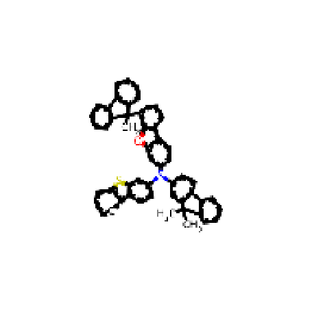 CC1(C)c2ccccc2-c2ccc(N(c3ccc4c(c3)oc3c(C5(C)c6ccccc6-c6ccccc65)cccc34)c3ccc4c(c3)sc3ccccc34)cc21